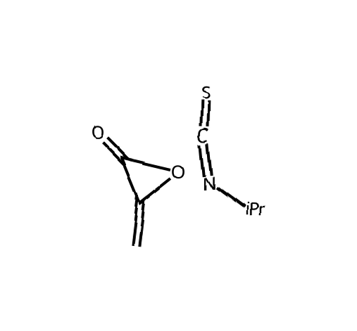 C=C1OC1=O.CC(C)N=C=S